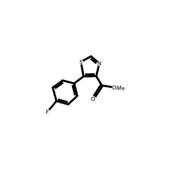 COC(=O)c1ncsc1-c1ccc(F)cc1